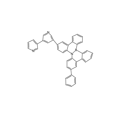 c1ccc(-c2ccc3c(c2)-c2ccccc2B2c4ccccc4-c4cc(-c5cncc(-c6cccnc6)c5)ccc4N23)cc1